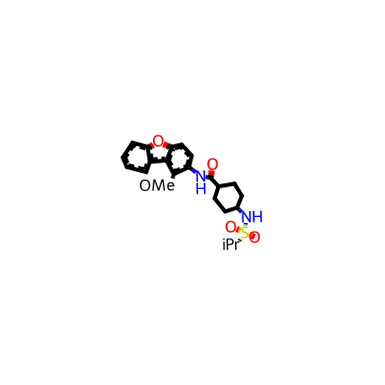 COc1c(NC(=O)C2CCC(NS(=O)(=O)C(C)C)CC2)ccc2oc3ccccc3c12